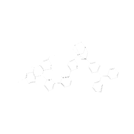 Cc1cc(C)c(B(c2cccc(-c3cccc(-c4ccc(C56CC7CC(C5)CC(c5ccc(P(c8ccccc8)c8ccccc8)cc5)(C7)C6)cc4)n3)c2)c2c(C)cc(C)cc2C)c(C)c1